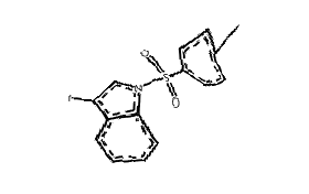 Cc1ccc(S(=O)(=O)n2cc(I)c3ccccc32)cc1